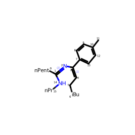 CCCCC/C(=N/C(=C\CC(C)CC)c1ccc(C)cc1)NCCC